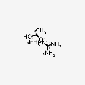 CC(=O)O.N=C(N)N.[InH3]